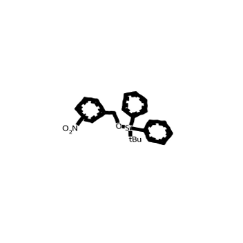 CC(C)(C)[Si](OCc1cccc([N+](=O)[O-])c1)(c1ccccc1)c1ccccc1